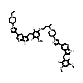 CCN1CCC(n2cc(-c3cnc4[nH]cc(Cc5c(F)c(OC)cc(OCCC(C)N6CCC(n7cc(-c8cnc9[nH]cc(Cc%10c(F)c(OC)cc(OC)c%10F)c9c8)cn7)CC6)c5F)c4c3)cn2)CC1